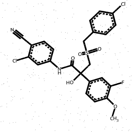 COc1ccc(C(O)(CS(=O)(=O)Cc2ccc(Cl)cc2)C(=O)Nc2ccc(C#N)c(Cl)c2)cc1F